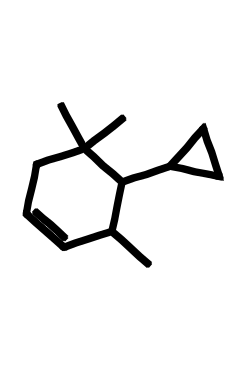 CC1C=CCC(C)(C)C1C1CC1